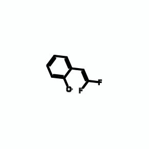 [O]c1ccccc1C=C(F)F